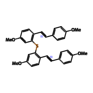 COc1ccc(/C=C/c2ccc(OC)cc2Sc2cc(OC)ccc2/C=C/c2ccc(OC)cc2)cc1